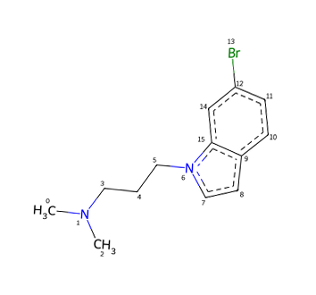 CN(C)CCCn1ccc2ccc(Br)cc21